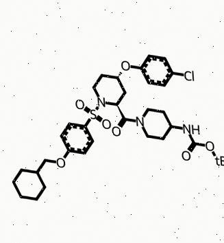 CC(C)(C)OC(=O)NC1CCN(C(=O)[C@@H]2C[C@@H](Oc3ccc(Cl)cc3)CCN2S(=O)(=O)c2ccc(OCC3CCCCC3)cc2)CC1